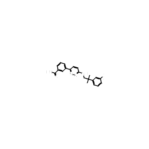 CC(C)(CNc1ccc(-c2cccc(C(N)=O)c2)nn1)c1cccc(F)c1